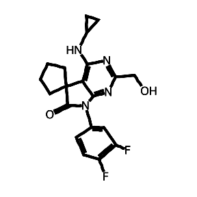 O=C1N(c2ccc(F)c(F)c2)c2nc(CO)nc(NC3CC3)c2C12CCCC2